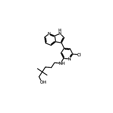 CC(C)(CO)CCCNc1cc(-c2c[nH]c3ncccc23)cc(Cl)n1